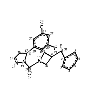 C[C@H](c1ccccc1)C1CN(C(=O)N2N=CC[C@H]2c2cc(F)cc(F)c2)C1